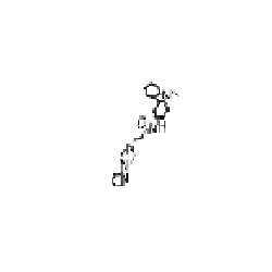 CCn1c2ccccc2c2cc(NC(=O)CCN3CCN(c4ccccn4)CC3)ccc21